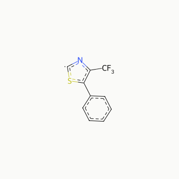 FC(F)(F)c1n[c]sc1-c1ccccc1